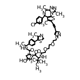 Cc1ncsc1-c1ccc(C(C)NC(=O)[C@@H]2C[C@@H](O)CN2C(=O)C(NC(=O)COCCOCCn2cc(C#Cc3sc4c(c3C)C(c3ccc(Cl)cc3)=N[C@@H](C)c3nnc(C)n3-4)cn2)C(C)(C)C)cc1